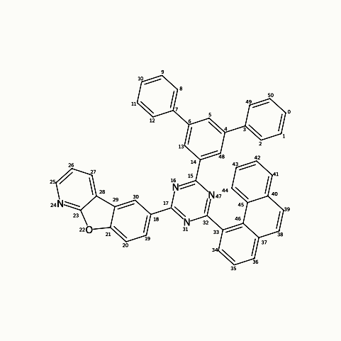 c1ccc(-c2cc(-c3ccccc3)cc(-c3nc(-c4ccc5oc6ncccc6c5c4)nc(-c4cccc5ccc6ccccc6c45)n3)c2)cc1